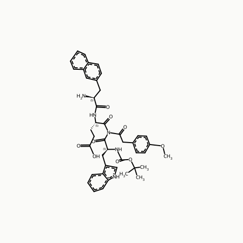 COc1ccc(CC(=O)N(C(=O)[C@H](Cc2c[nH]c3ccccc23)NC(=O)OC(C)(C)C)C(=O)[C@H](CCC(=O)O)NC(=O)[C@@H](N)Cc2ccc3ccccc3c2)cc1